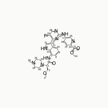 COC[C@H](C(=O)Nc1cccc2c(-c3nc(Nc4ccc(C(=O)OC)nc4)ncc3F)c[nH]c12)N1CCN(C)CC1